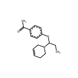 CCC(Oc1ccc(C(C)=O)cc1)N1CC=CCC1